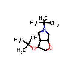 CC(C)(C)OC1COC2CN(C(C)(C)C)CC21